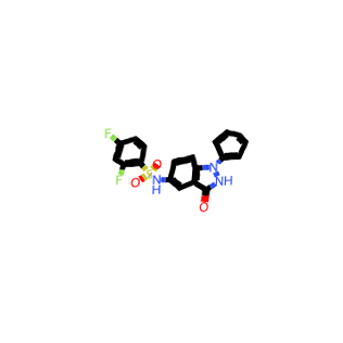 O=c1[nH]n(-c2ccccc2)c2ccc(NS(=O)(=O)c3ccc(F)cc3F)cc12